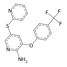 Nc1ncc(Sc2ccccn2)cc1Oc1ccc(C(F)(F)F)cc1